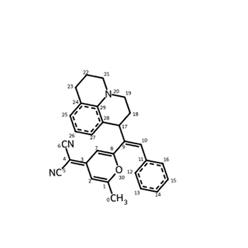 CC1=CC(=C(C#N)C#N)C=C(C(=Cc2ccccc2)C2CCN3CCCc4cccc2c43)O1